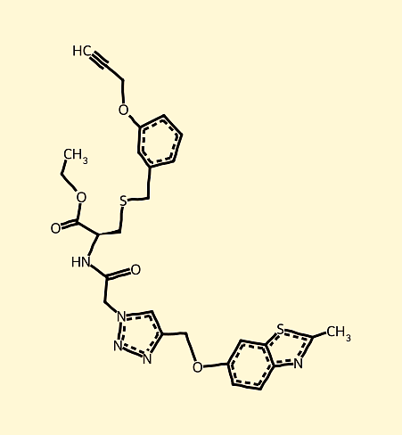 C#CCOc1cccc(CSC[C@@H](NC(=O)Cn2cc(COc3ccc4nc(C)sc4c3)nn2)C(=O)OCC)c1